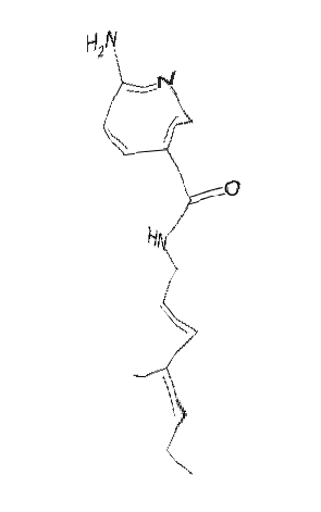 CC/C=C(C)/C=C/CNC(=O)c1ccc(N)nc1